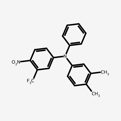 Cc1ccc(N(c2ccccc2)c2ccc([N+](=O)[O-])c(C(F)(F)F)c2)cc1C